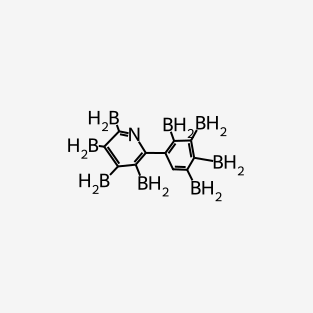 Bc1cc(-c2nc(B)c(B)c(B)c2B)c(B)c(B)c1B